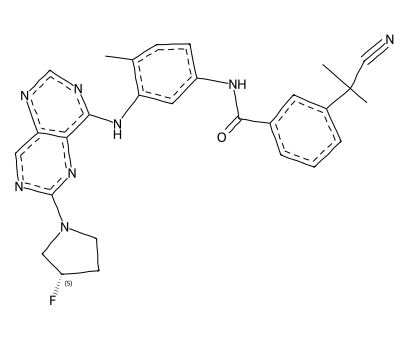 Cc1ccc(NC(=O)c2cccc(C(C)(C)C#N)c2)cc1Nc1ncnc2cnc(N3CC[C@H](F)C3)nc12